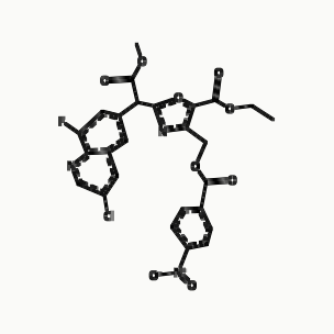 CCOC(=O)c1oc(C(C(=O)OC)c2cc(F)c3ncc(Cl)cc3c2)nc1COC(=O)c1ccc([N+](=O)[O-])cc1